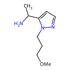 COCCCn1nccc1C(C)N